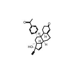 C#C[C@]1(O)C=C[C@H]2[C@@H]3CCC4=CC(=O)CC[C@@H]4[C@H]3[C@@H](c3ccc(C(C)=O)cc3)C[C@@]21C